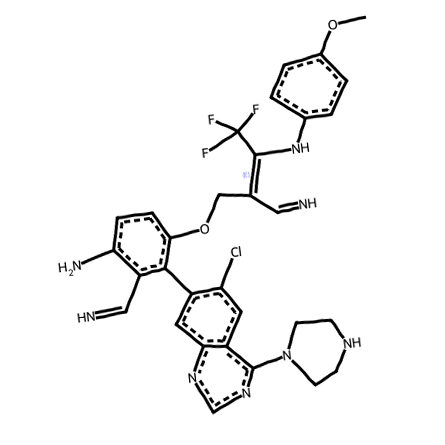 COc1ccc(N/C(=C(\C=N)COc2ccc(N)c(C=N)c2-c2cc3ncnc(N4CCNCC4)c3cc2Cl)C(F)(F)F)cc1